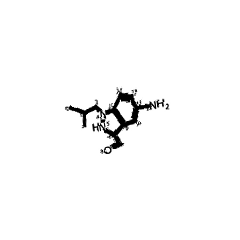 CC(C)CN1NC(C=O)c2cc(N)ccc21